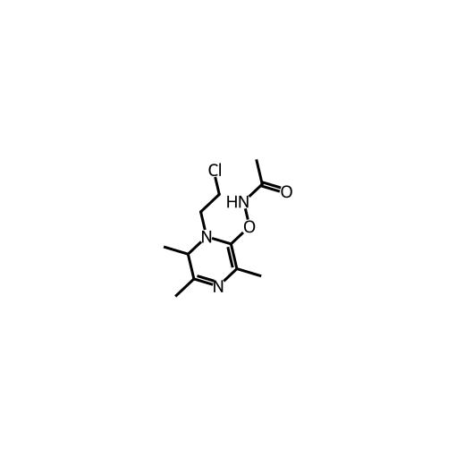 CC(=O)NOC1=C(C)N=C(C)C(C)N1CCCl